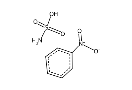 NS(=O)(=O)O.O=[N+]([O-])c1ccccc1